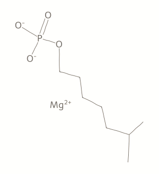 CC(C)CCCCCOP(=O)([O-])[O-].[Mg+2]